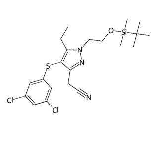 CCc1c(Sc2cc(Cl)cc(Cl)c2)c(CC#N)nn1CCO[Si](C)(C)C(C)(C)C